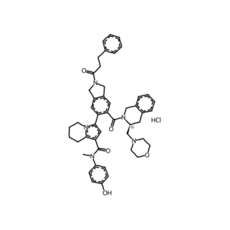 CN(C(=O)c1cc(-c2cc3c(cc2C(=O)N2Cc4ccccc4C[C@H]2CN2CCOCC2)CN(C(=O)CCc2ccccc2)C3)n2c1CCCC2)c1ccc(O)cc1.Cl